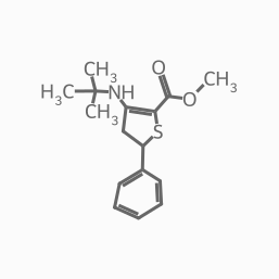 COC(=O)C1=C(NC(C)(C)C)CC(c2ccccc2)S1